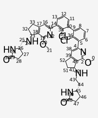 COc1nc(-c2cccc(-c3cccc(-c4cc5c(c(OC)n4)[C@H](NC[C@@H]4CCC(=O)N4)CC5)c3Cl)c2Cl)cc2c1C(NCC[C@@H]1CCC(=O)N1)CC2